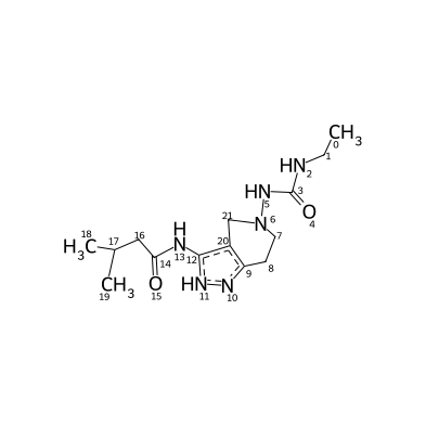 CCNC(=O)NN1CCc2n[nH]c(NC(=O)CC(C)C)c2C1